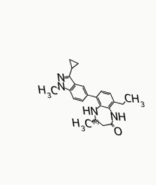 CCc1ccc(-c2ccc3c(c2)c(C2CC2)nn3C)c2c1NC(=O)C[C@@H](C)N2